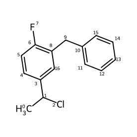 CC(Cl)c1ccc(F)c(Cc2ccccc2)c1